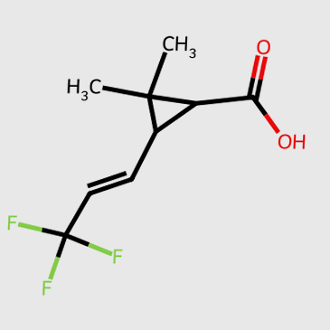 CC1(C)C(C=CC(F)(F)F)C1C(=O)O